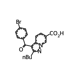 CCCCc1nn2cc(C(=O)O)ccc2c1C(=O)c1ccc(Br)cc1